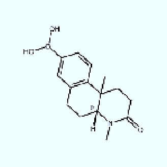 CN1C(=O)CCC2(C)c3ccc(B(O)O)cc3CC[C@@H]12